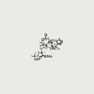 CCCC(C)(C)CC[C@@](C)(CC[C@]1(C)COC(=O)C[C@@H]2[C@@]3(C)Cc4cnoc4C(C)(C)[C@@H]3CC[C@]21C)C(=O)OC